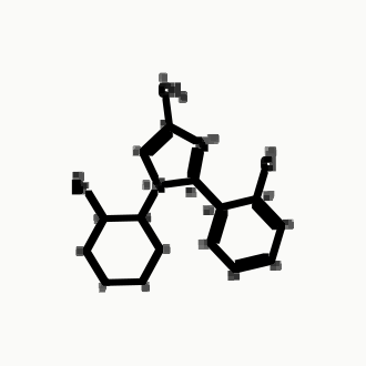 Cc1cn(C2CCCCC2Br)c(-c2ccccc2Cl)n1